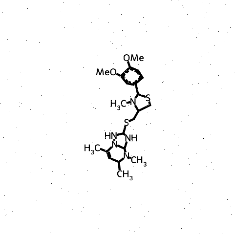 COc1ccc(C2SCC(CSC3NC4N(N3)C(C)=CC(C)N4C)N2C)cc1OC